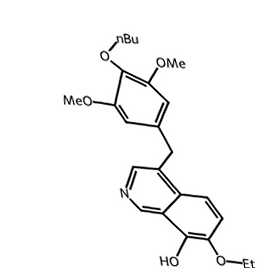 CCCCOc1c(OC)cc(Cc2cncc3c(O)c(OCC)ccc23)cc1OC